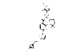 Cc1c(S(=O)(=O)NC(=O)c2ccc(-n3ccc(OCC45CC(F)(C4)C5)n3)nc2N2C[C@@H](C)CC2(C)C)cnn1C